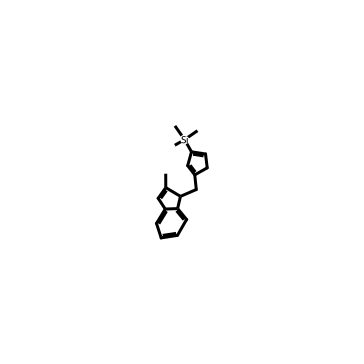 CC1=Cc2ccccc2C1CC1=CC([Si](C)(C)C)=CC1